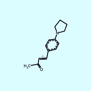 CC(=O)/C=C/c1ccc(N2CCCC2)cc1